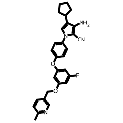 Cc1ccc(COc2cc(F)cc(Oc3ccc(-n4cc(C5CCCC5)c(N)c4C#N)cc3)c2)cn1